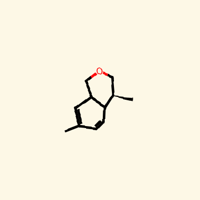 CC1=CC2COC[C@@H](C)C2C=C1